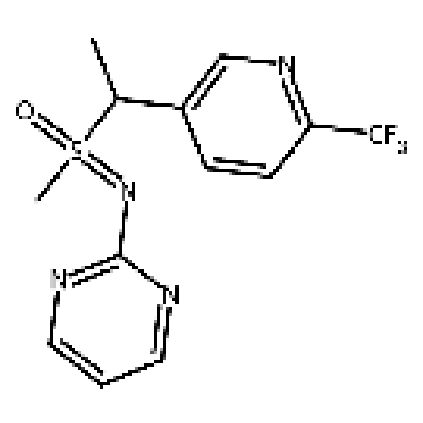 CC(c1ccc(C(F)(F)F)nc1)S(C)(=O)=Nc1ncccn1